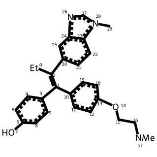 CCC(=C(c1ccc(O)cc1)c1ccc(OCCNC)cc1)c1ccc2c(c1)ncn2C